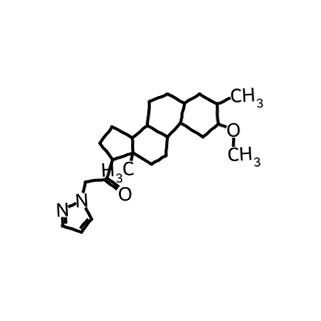 COC1CC2C(CCC3C2CCC2(C)C(C(=O)Cn4cccn4)CCC32)CC1C